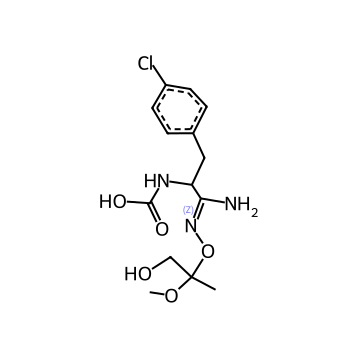 COC(C)(CO)O/N=C(\N)C(Cc1ccc(Cl)cc1)NC(=O)O